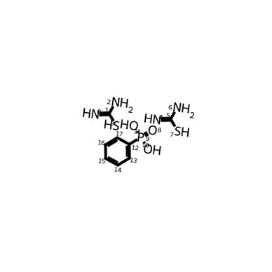 N=C(N)S.N=C(N)S.O=P(O)(O)c1ccccc1